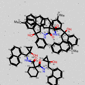 COc1cccc(C(O)(c2cccc(OC)c2)[C@@H](NC(=O)C2(C(=O)N[C@@H](c3cccc4ccccc34)C(O)(c3cccc(OC)c3)c3cccc(OC)c3)CCCCC2)c2cccc3ccccc23)c1.O=C(N[C@@H](c1cccc2ccccc12)C1(O)CC1)C1(C(=O)N[C@@H](c2cccc3ccccc23)C2(O)CC2)CCCCC1